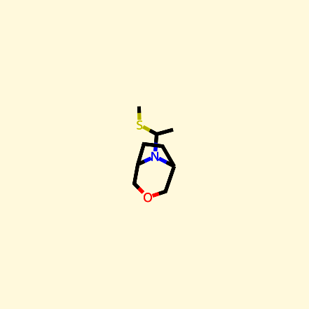 CSC(C)N1C2CCC1COC2